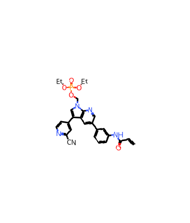 C=CC(=O)Nc1cccc(-c2cnc3c(c2)c(-c2ccnc(C#N)c2)cn3COP(=O)(OCC)OCC)c1